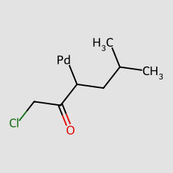 CC(C)C[CH]([Pd])C(=O)CCl